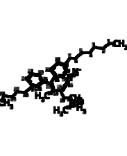 CCCCCCCCc1ccc(C(=C(C)C(=C=[N+]=[N-])CC)c2cccc(CCCCC)c2)cc1.[CH3][Ni][CH3]